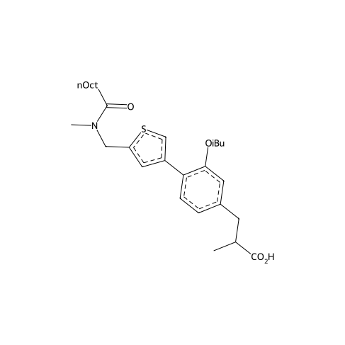 CCCCCCCCC(=O)N(C)Cc1cc(-c2ccc(CC(C)C(=O)O)cc2OCC(C)C)cs1